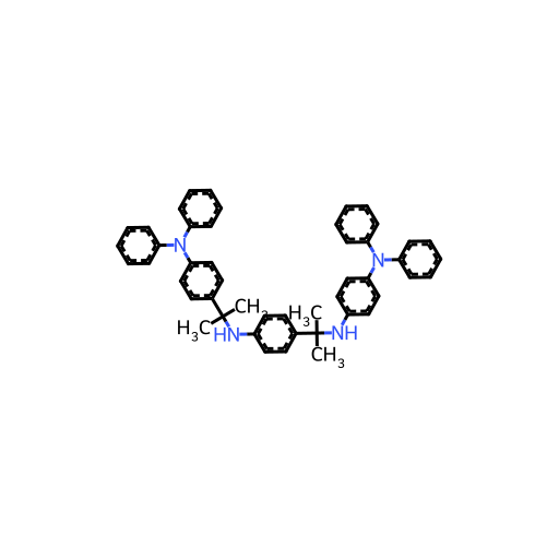 CC(C)(Nc1ccc(N(c2ccccc2)c2ccccc2)cc1)c1ccc(NC(C)(C)c2ccc(N(c3ccccc3)c3ccccc3)cc2)cc1